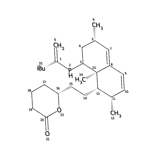 C=C(PC1C[C@H](C)C=C2C=C[C@H](C)[C@H](CC[C@H]3CCCC(=O)O3)[C@]21C)[C@@H](C)CC